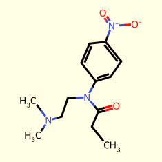 CCC(=O)N(CCN(C)C)c1ccc([N+](=O)[O-])cc1